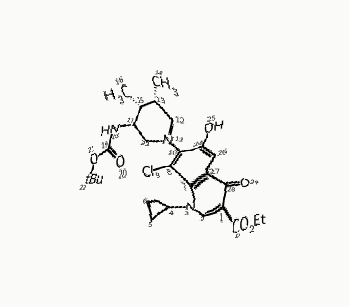 CCOC(=O)c1cn(C2CC2)c2c(Cl)c(N3C[C@@H](C)[C@@H](C)[C@H](NC(=O)OC(C)(C)C)C3)c(O)cc2c1=O